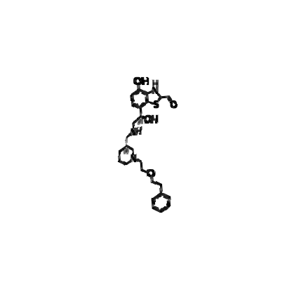 O=CC1Nc2c(O)ccc([C@@H](O)CNC[C@H]3CCCN(CCOCCc4ccccc4)C3)c2S1